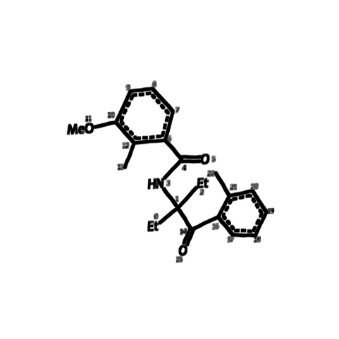 CCC(CC)(NC(=O)c1cccc(OC)c1C)C(=O)c1ccccc1C